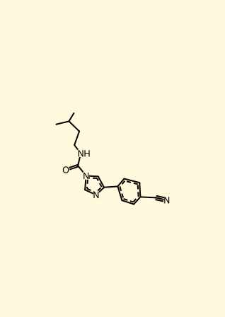 CC(C)CCNC(=O)n1cnc(-c2ccc(C#N)cc2)c1